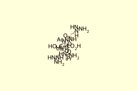 CC(=O)N(N1C(=O)N[C@@H](CCCNC(=N)N)C1=O)C(CC(=O)O)(CC(=O)O)C(=O)N[C@@H](CCCNC(=N)N)C(=O)N[C@H](C(N)=O)C(C)C